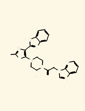 C[C@@H]1CN(c2sc(C(F)(F)F)nc2-c2nc3ccccc3[nH]2)CCN1C(=O)Cn1cnc2cccnc21